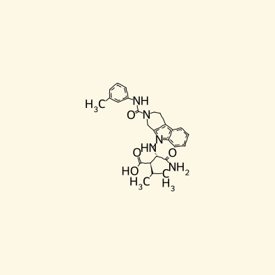 Cc1cccc(NC(=O)N2CCc3c(n(N[C@H](C(N)=O)[C@H](C(=O)O)C(C)C)c4ccccc34)C2)c1